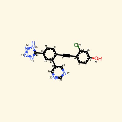 Oc1ccc(C#Cc2ccc(-c3nnn[nH]3)cc2-c2cncnc2)c(Cl)c1